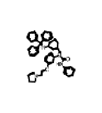 O=C(Nc1ccccc1)N(CC1CCCC(NC(c2ccccc2)(c2ccccc2)c2ccccc2)C1)c1cccc(OCCN2CCCC2)c1